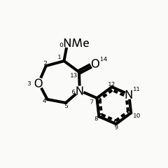 CNC1COCCN(c2cccnc2)C1=O